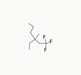 CCCC(C)(CC)CC(F)(F)F